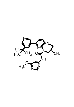 COc1cc(NC(=O)N2C[C@H](C)CNc3ccc(-c4cncc(C(C)(C)C)c4)nc32)ncn1